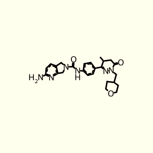 CC1CC(=O)N(CC2CCOCC2)N=C1c1ccc(NC(=O)N2Cc3ccc(N)nc3C2)cc1